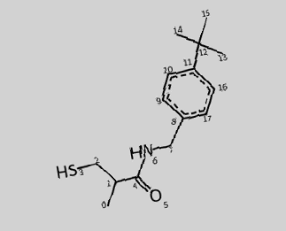 CC(CS)C(=O)NCc1ccc(C(C)(C)C)cc1